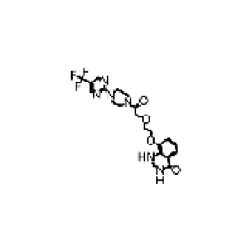 O=C1NCNc2c(OCCOCC(=O)N3CCN(c4ncc(C(F)(F)F)cn4)CC3)cccc21